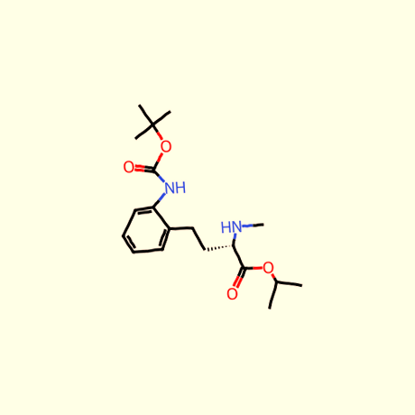 CN[C@@H](CCc1ccccc1NC(=O)OC(C)(C)C)C(=O)OC(C)C